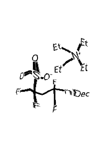 CCCCCCCCCCC(F)(F)C(F)(F)S(=O)(=O)[O-].CC[N+](CC)(CC)CC